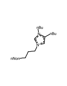 CCCCCCCCCCCC[n+]1cc(CCCC)n(CCCC)c1